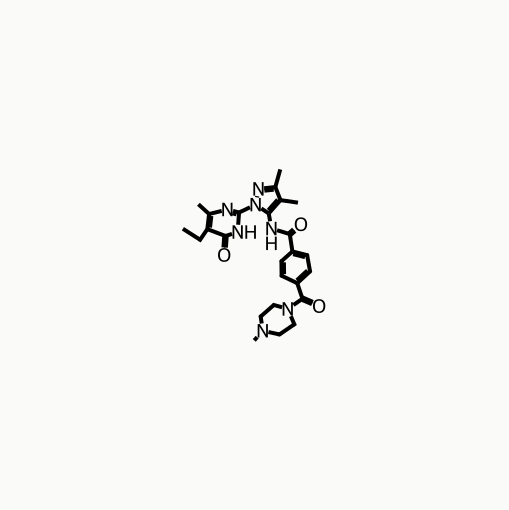 CCc1c(C)nc(-n2nc(C)c(C)c2NC(=O)c2ccc(C(=O)N3CCN(C)CC3)cc2)[nH]c1=O